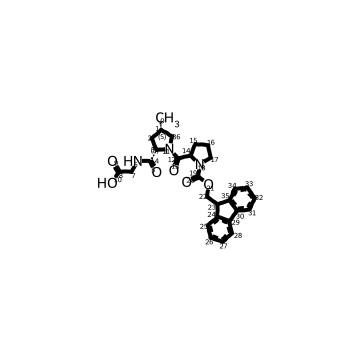 C[C@H]1C[C@@H](C(=O)NCC(=O)O)N(C(=O)C2CCCN2C(=O)OCC2c3ccccc3-c3ccccc32)C1